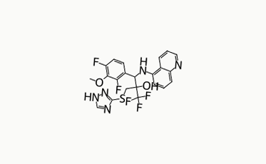 COc1c(F)ccc(C(Nc2cccc3ncccc23)C(O)(CSc2nc[nH]n2)C(F)(F)F)c1F